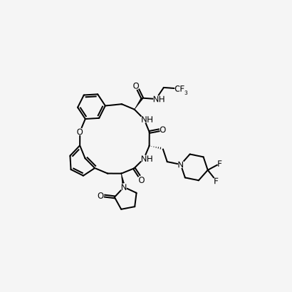 O=C(NCC(F)(F)F)[C@@H]1Cc2cccc(c2)Oc2cccc(c2)C[C@H](N2CCCC2=O)C(=O)N[C@@H](CCN2CCC(F)(F)CC2)C(=O)N1